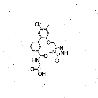 Cc1cc(OCc2n[nH]c(=O)n2C)c(-c2cccc(C(=O)NCC(=O)O)c2)cc1Cl